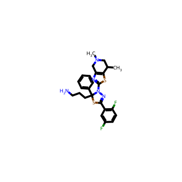 CC1CN(C)Cc2nc(N3N=C(c4cc(F)ccc4F)SC3(CCCN)c3ccccc3)sc21